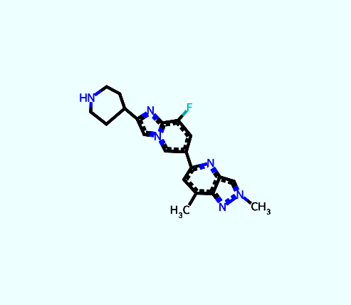 Cc1cc(-c2cc(F)c3nc(C4CCNCC4)cn3c2)nc2cn(C)nc12